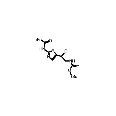 CC(C)C(=O)Nc1ncc(C(O)CNC(=O)OC(C)(C)C)s1